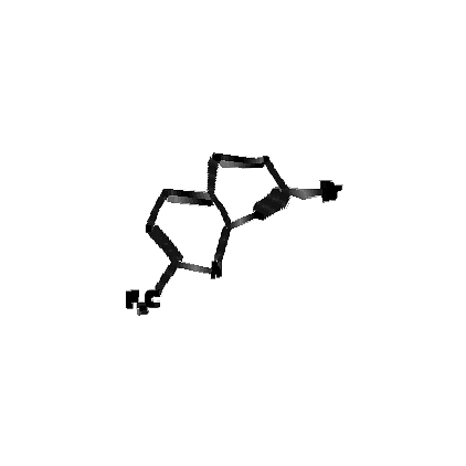 FC(F)(F)c1ccc2ccc(Br)cc2n1